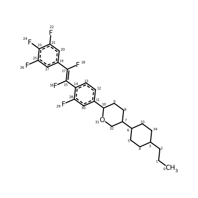 CCCC1CCC(C2CCC(c3ccc(/C(F)=C(\F)c4cc(F)c(F)c(F)c4)c(F)c3)OC2)CC1